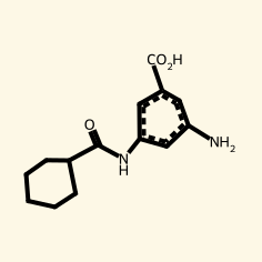 Nc1cc(NC(=O)C2CCCCC2)cc(C(=O)O)c1